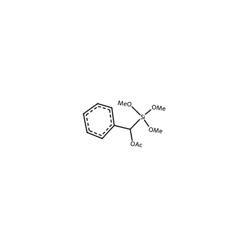 CO[Si](OC)(OC)C(OC(C)=O)c1ccccc1